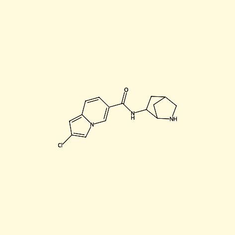 O=C(NC1CC2CNC1C2)c1ccc2cc(Cl)cn2c1